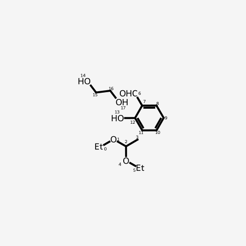 CCOC(C)OCC.O=Cc1ccccc1O.OCCO